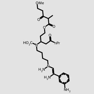 CCCC(=O)CC(CCOC(=O)C(C)C(=O)CCOC)N(CCCCN(N)/C=C(\N)c1cccc(N)c1)C(=O)O